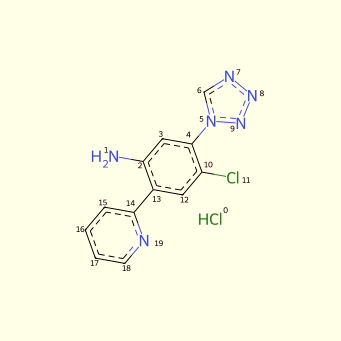 Cl.Nc1cc(-n2cnnn2)c(Cl)cc1-c1ccccn1